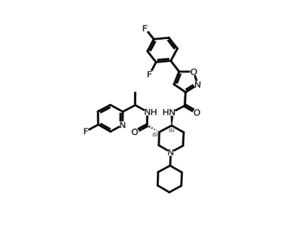 CC(NC(=O)[C@H]1CN(C2CCCCC2)CC[C@@H]1NC(=O)c1cc(-c2ccc(F)cc2F)on1)c1ccc(F)cn1